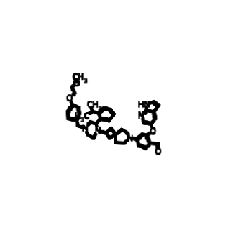 COCCOc1ccc(CN2CCN(C3CC4(CCN(c5ccc(C=O)c(Oc6cnc7[nH]ccc7c6)c5)CC4)C3)C(c3ccccc3C(C)C)C2)cc1